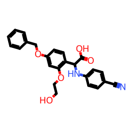 N#Cc1ccc(NC(C(=O)O)c2ccc(OCc3ccccc3)cc2OCCO)cc1